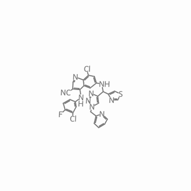 N#Cc1cnc2c(Cl)cc(NC(c3cscn3)c3cn(Cc4ccccn4)nn3)cc2c1Nc1ccc(F)c(Cl)c1